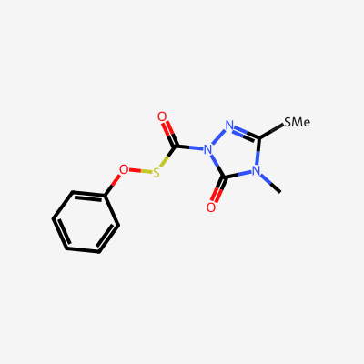 CSc1nn(C(=O)SOc2ccccc2)c(=O)n1C